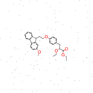 CCOC(=O)C(Cc1ccc(OCCC2c3ccccc3-c3ccc(OC)cc32)cc1)OCC